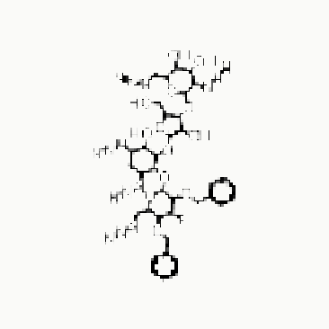 [N-]=[N+]=NCC1OC(OC2C(CO)OC(OC3C(O)C(N=[N+]=[N-])CC(N=[N+]=[N-])C3OC3OC(CN=[N+]=[N-])C(OCc4ccccc4)C(F)C3OCc3ccccc3)C2O)C(N=[N+]=[N-])C(O)C1O